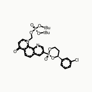 CC(C)(C)OP(=O)(OCn1ccc(=O)c2ccc3cc(P4(=O)OCC[C@@H](c5cccc(Cl)c5)O4)cnc3c21)OC(C)(C)C